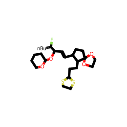 CCCCC(F)C(C=CC1CCC2(OCCO2)C1CCC1SCCS1)OC1CCCCO1